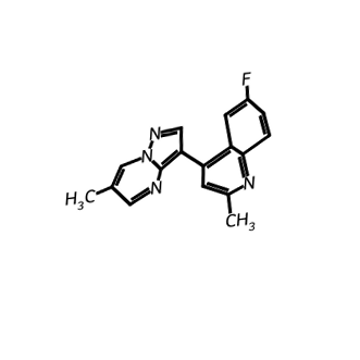 Cc1cnc2c(-c3cc(C)nc4ccc(F)cc34)cnn2c1